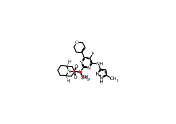 CCS(=O)(=O)N1[C@@H]2CCC[C@H]1CC(N(C)c1nc(Nc3cc(C)[nH]n3)c(F)c(C3=CCOCC3)n1)C2